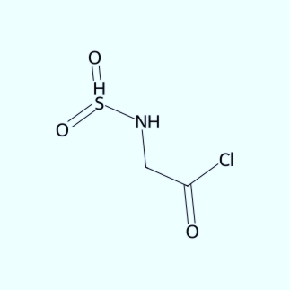 O=C(Cl)CN[SH](=O)=O